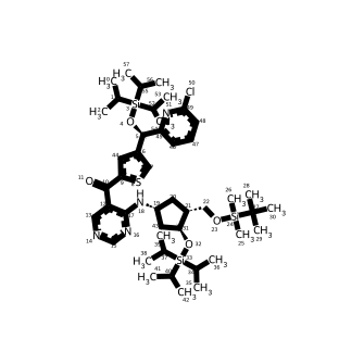 CC(C)[Si](O[C@H](c1csc(C(=O)c2cncnc2N[C@@H]2C[C@H](CO[Si](C)(C)C(C)(C)C)[C@@H](O[Si](C(C)C)(C(C)C)C(C)C)C2)c1)c1cccc(Cl)n1)(C(C)C)C(C)C